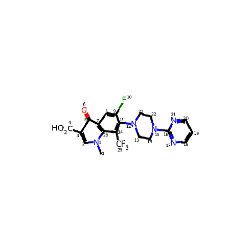 Cn1cc(C(=O)O)c(=O)c2cc(F)c(N3CCN(c4ncccn4)CC3)c(C(F)(F)F)c21